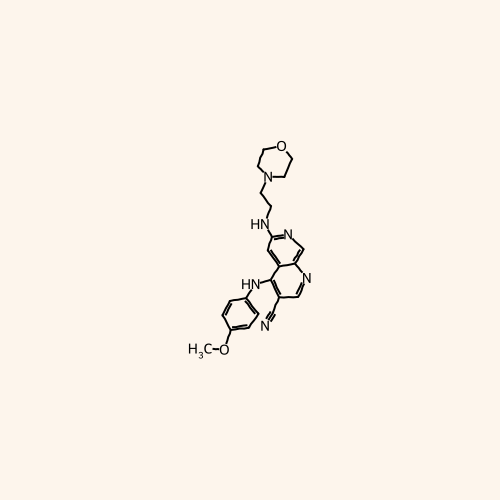 COc1ccc(Nc2c(C#N)cnc3cnc(NCCN4CCOCC4)cc23)cc1